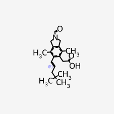 Cc1c(/C=C/CC(C)(C)C)c(CC(=O)O)c(C)c2c1CN(C=O)C2